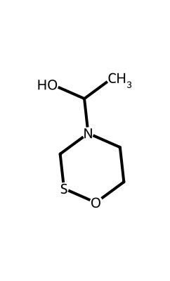 CC(O)N1CCOSC1